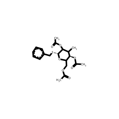 CC(=O)OCC1O[C@H](SCc2ccccc2)C(OC(C)=O)C(C)[C@H]1OC(C)=O